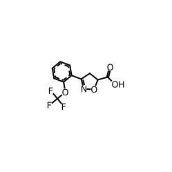 O=C(O)C1CC(c2ccccc2OC(F)(F)F)=NO1